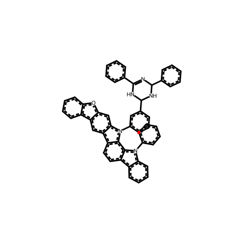 c1ccc(C2=NC(c3ccccc3)NC(c3cccc(-n4c5cc6oc7ccccc7c6cc5c5ccc6c7ccccc7n(-c7ccccc7)c6c54)c3)N2)cc1